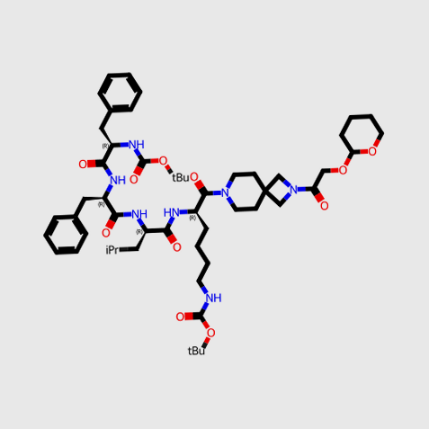 CC(C)C[C@@H](NC(=O)[C@@H](Cc1ccccc1)NC(=O)[C@@H](Cc1ccccc1)NC(=O)OC(C)(C)C)C(=O)N[C@H](CCCCNC(=O)OC(C)(C)C)C(=O)N1CCC2(CC1)CN(C(=O)COC1CCCCO1)C2